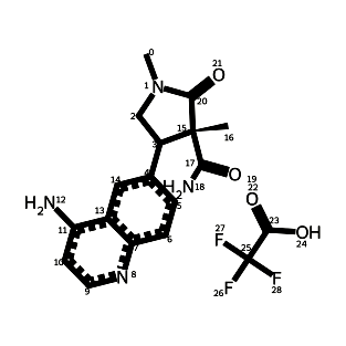 CN1CC(c2ccc3nccc(N)c3c2)[C@@](C)(C(N)=O)C1=O.O=C(O)C(F)(F)F